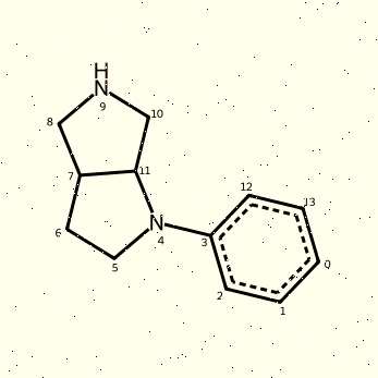 c1ccc(N2CCC3CNCC32)cc1